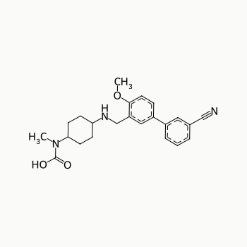 COc1ccc(-c2cccc(C#N)c2)cc1CNC1CCC(N(C)C(=O)O)CC1